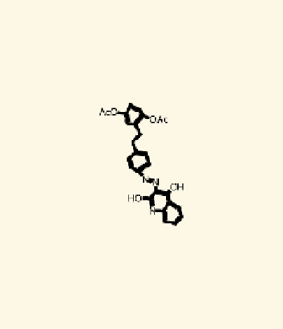 CC(=O)Oc1ccc(OC(C)=O)c(CCc2ccc(/N=N/c3c(O)nc4ccccc4c3O)cc2)c1